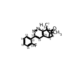 CC1C2CC(=O)C1(C)c1nnc(-c3ccccc3F)cc12